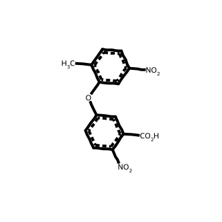 Cc1ccc([N+](=O)[O-])cc1Oc1ccc([N+](=O)[O-])c(C(=O)O)c1